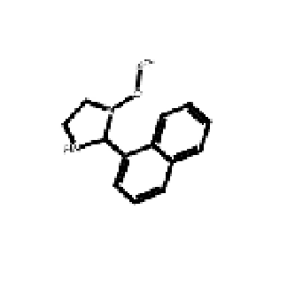 CCCON1CCN[C]1c1cccc2ccccc12